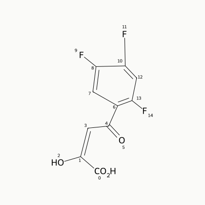 O=C(O)/C(O)=C\C(=O)c1cc(F)c(F)cc1F